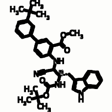 COC(=O)c1cc(-c2cccc(C(C)(C)C)c2)ccc1NC(C#N)[C@H](Cc1c[nH]c2ccccc12)NC(=O)OC(C)(C)C